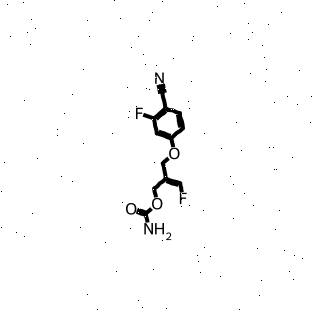 N#Cc1ccc(OCC(=CF)COC(N)=O)cc1F